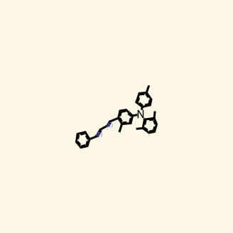 Cc1ccc(N(c2ccc(/C=C/C=C/c3ccccc3)c(C)c2)c2c(C)cccc2C)cc1